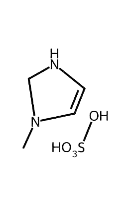 CN1C=CNC1.O=S(=O)(O)O